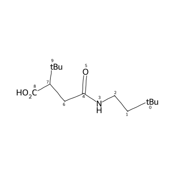 CC(C)(C)CCNC(=O)CC(C(=O)O)C(C)(C)C